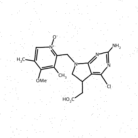 COc1c(C)c[n+]([O-])c(CN2CC(CC(=O)O)c3c(Cl)nc(N)nc32)c1C